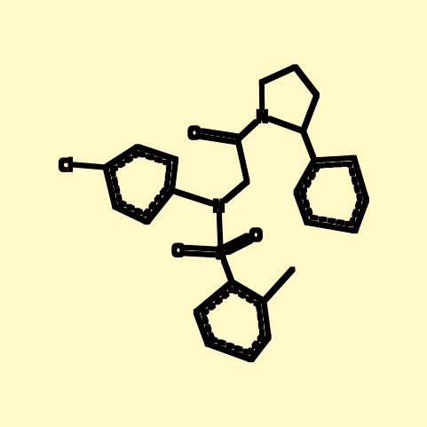 Cc1ccccc1S(=O)(=O)N(CC(=O)N1CCCC1c1ccccc1)c1ccc(Cl)cc1